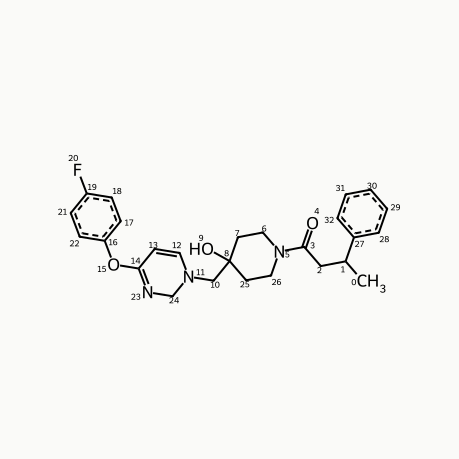 CC(CC(=O)N1CCC(O)(CN2C=CC(Oc3ccc(F)cc3)=NC2)CC1)c1ccccc1